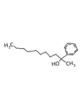 CCCCCCCCCC(C)(O)c1ccccc1